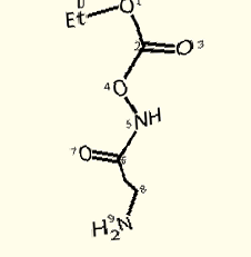 CCOC(=O)ONC(=O)CN